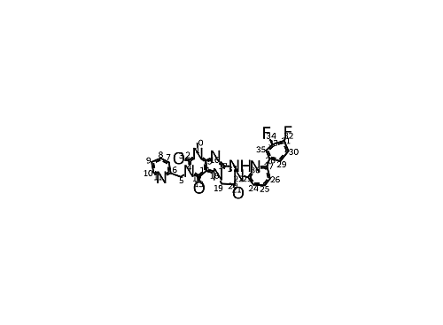 Cn1c(=O)n(Cc2ccccn2)c(=O)c2c1nc1n2CC(=O)N(c2cccc(-c3ccc(F)c(F)c3)n2)N1